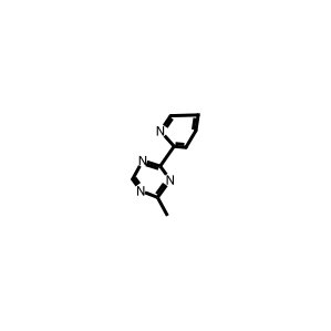 Cc1ncnc(-c2ccccn2)n1